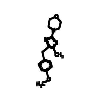 COc1ccc(Cc2nc(N3CCOCC3)sc2C)cc1